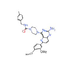 COc1ccc(-c2ccc3nc(N)nc(N4CCN(C(=O)NCc5ccc(C)cc5)CC4)c3n2)cc1OC